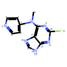 CN(c1ccncc1)c1nc(F)nc2[nH]cnc12